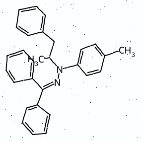 Cc1ccc(N(N=C(c2ccccc2)c2ccccc2)C(C)Cc2ccccc2)cc1